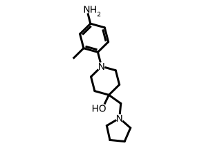 Cc1cc(N)ccc1N1CCC(O)(CN2CCCC2)CC1